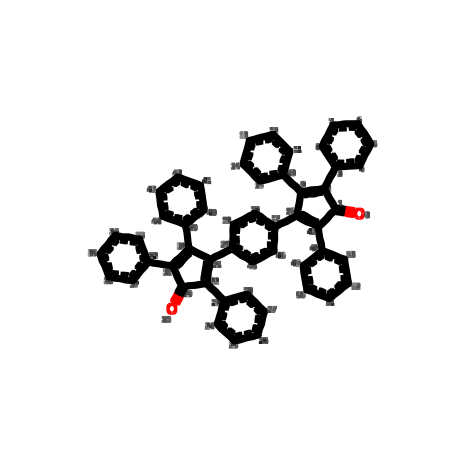 O=C1C(c2ccccc2)=C(c2ccccc2)C(c2ccc(C3=C(c4ccccc4)C(=O)C(c4ccccc4)=C3c3ccccc3)cc2)=C1c1ccccc1